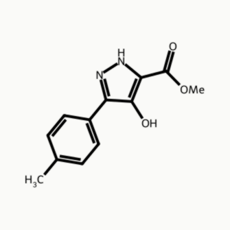 COC(=O)c1[nH]nc(-c2ccc(C)cc2)c1O